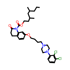 CCCC(C)CC(C)CCOC(=O)N1C(=O)CCc2ccc(OCCCCN3CCN(c4cccc(Cl)c4Cl)CC3)cc21